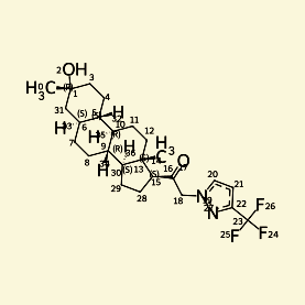 C[C@@]1(O)CC[C@H]2[C@@H](CC[C@@H]3[C@@H]2CC[C@]2(C)[C@@H](C(=O)Cn4ccc(C(F)(F)F)n4)CC[C@@H]32)C1